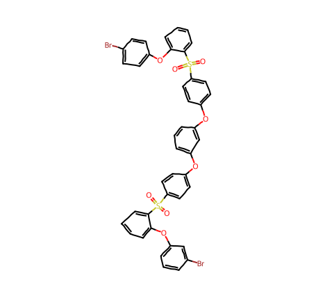 O=S(=O)(c1ccc(Oc2cccc(Oc3ccc(S(=O)(=O)c4ccccc4Oc4cccc(Br)c4)cc3)c2)cc1)c1ccccc1Oc1ccc(Br)cc1